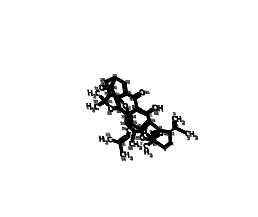 C=C(C)[C@@H]1CC[C@@]2(C)CC1c1c(O)c3c(c(CC=C(C)C)c1O2)O[C@]12C(=CC4CC1C(C)(C)OC2(/C=C/C(C)OC=O)C4=O)C3=O